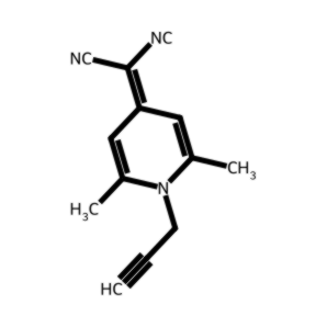 [C-]#[N+]C(C#N)=C1C=C(C)N(CC#C)C(C)=C1